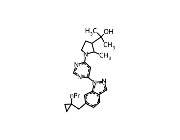 CCCC1(Cc2ccc3cnn(-c4cc(N5CCC(C(C)(C)O)C5C)ncn4)c3c2)CC1